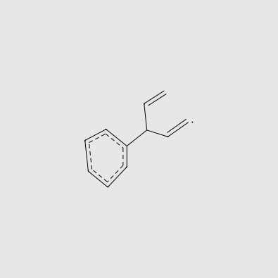 [CH]=CC(C=C)c1ccccc1